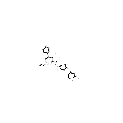 C=CCn1cc(-c2ccc(F)cc2)c(=O)c(C(=O)Nc2ccc(Oc3ccnc(N)c3Cl)cn2)n1